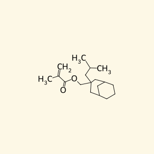 C=C(C)C(=O)OCC1(CC(C)C)CC2CCCC(C2)C1